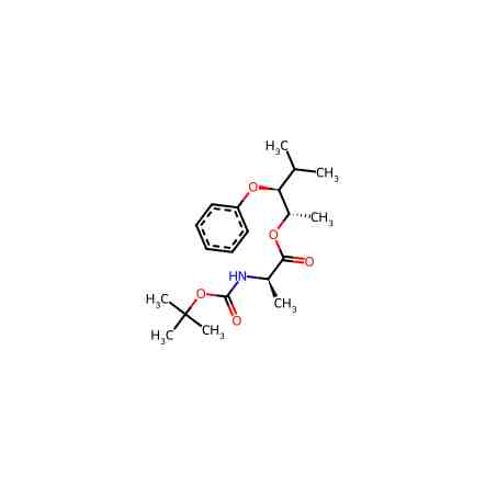 CC(C)[C@H](Oc1ccccc1)[C@H](C)OC(=O)[C@@H](C)NC(=O)OC(C)(C)C